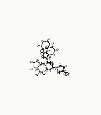 C[C@H](Oc1cc(-n2ccc(Br)n2)nc(-c2noc3c2CCC[C@@]32CCCCC2=O)n1)[C@@H]1CCCN1C